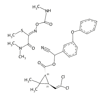 CC1(C)[C@H](C=C(Cl)Cl)[C@H]1C(=O)OC(C#N)c1cccc(Oc2ccccc2)c1.CNC(=O)ON=C(SC)C(=O)N(C)C